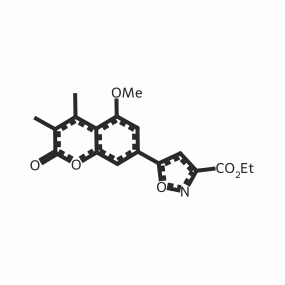 CCOC(=O)c1cc(-c2cc(OC)c3c(C)c(C)c(=O)oc3c2)on1